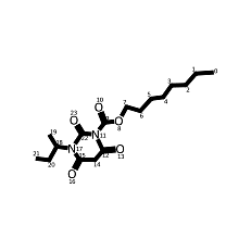 CCCCCCCCOC(=O)N1C(=O)CC(=O)N(C(C)CC)C1=O